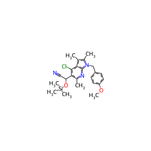 COc1ccc(Cn2c(C)c(C)c3c(Cl)c(C(C#N)O[Si](C)(C)C)c(C)nc32)cc1